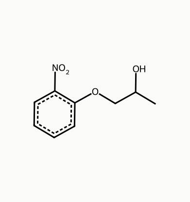 CC(O)COc1ccccc1[N+](=O)[O-]